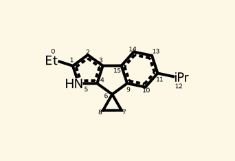 CCc1cc2c([nH]1)C1(CC1)c1cc(C(C)C)ccc1-2